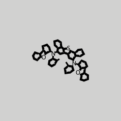 Cc1ccccc1N(c1cc2c3cc(N(c4ccccc4C)c4cccc5c4oc4ccccc45)c4ccccc4c3sc2c2ccccc12)c1cccc2c1oc1ccccc12